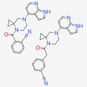 N#Cc1cccc(CC(=O)N2CCN(c3ccnc4[nH]ccc34)CC23CC3)c1.N#Cc1ccccc1C(=O)N1CCN(c2ccnc3[nH]ccc23)CC12CC2